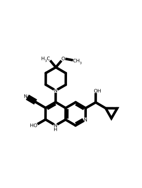 COC1(C)CCN(C2=C(C#N)C(O)Nc3cnc(C(O)C4CC4)cc32)CC1